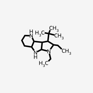 CCC1C(C(C)(C)C)C2C3NCCCC3NC2N1CC